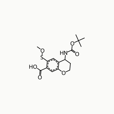 COSc1cc2c(cc1C(=O)O)OCCC2NC(=O)OC(C)(C)C